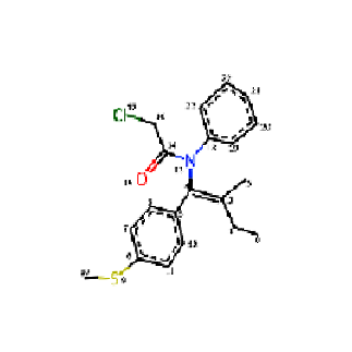 CCC(C)=C(c1ccc(SC)cc1)N(C(=O)CCl)c1ccccc1